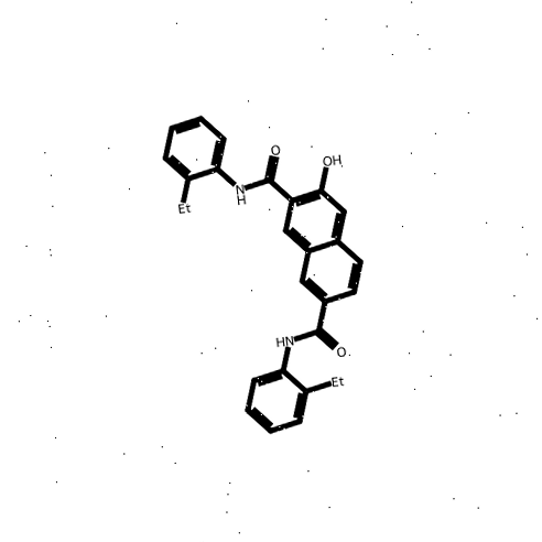 CCc1ccccc1NC(=O)c1ccc2cc(O)c(C(=O)Nc3ccccc3CC)cc2c1